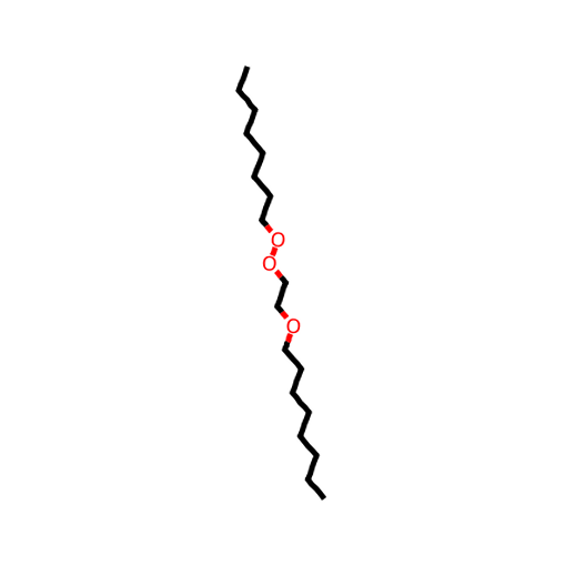 CCCCCCCCOCCOOCCCCCCCC